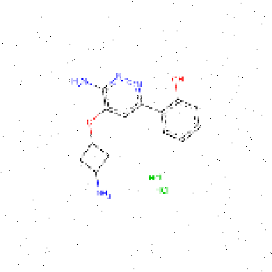 Cl.Cl.Nc1nnc(-c2ccccc2O)cc1OC1CC(N)C1